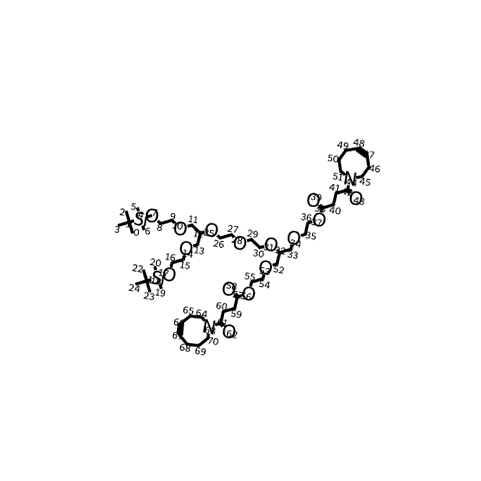 CC(C)(C)[Si](C)(C)OCCOCC(COCCO[Si](C)(C)C(C)(C)C)OCCOCCOC(COCCOC(=O)CCC(=O)N1CCC#CCCC1)COCCOC(=O)CCC(=O)N1CCC#CCCC1